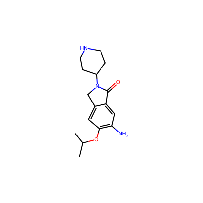 CC(C)Oc1cc2c(cc1N)C(=O)N(C1CCNCC1)C2